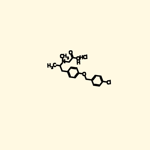 CC(Cc1ccc(OCc2ccc(Cl)cc2)cc1)N(C)CC(=O)O.Cl